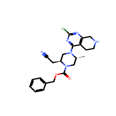 C[C@@H]1CN(C(=O)OCc2ccccc2)[C@@H](CC#N)CN1c1nc(Cl)nc2c1CCNC2